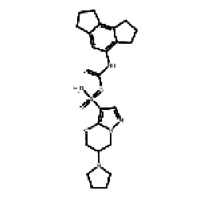 NS(=O)(=NC(=O)Nc1cc2c(c3c1CCC3)CCC2)c1cnn2c1OCC(N1CCCC1)C2